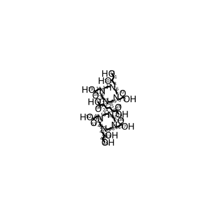 O=C(O)CN1CCN(CC(O)CO)CCN(CC(=O)O)CCN(C(CCC(C(=O)O)N2CCN(CC(=O)O)CCN(CC(O)CO)CCN(CC(=O)O)CC2)C(=O)O)CC1